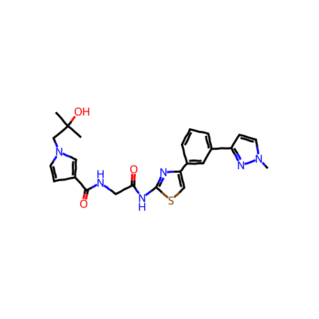 Cn1ccc(-c2cccc(-c3csc(NC(=O)CNC(=O)c4ccn(CC(C)(C)O)c4)n3)c2)n1